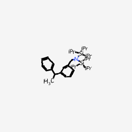 CC(c1ccccc1)c1cccc(CN([Si](C(C)C)(C(C)C)C(C)C)[Si](C(C)C)(C(C)C)C(C)C)c1